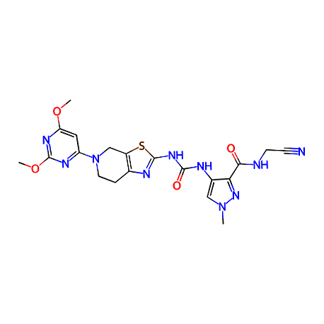 COc1cc(N2CCc3nc(NC(=O)Nc4cn(C)nc4C(=O)NCC#N)sc3C2)nc(OC)n1